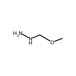 COCNN